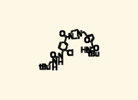 CC(C)(C)CNC(=O)Nc1ccc(C(=O)N2CCN(Cc3ccc(C(=O)NC(C)(C)C)o3)CC2)cc1Cl